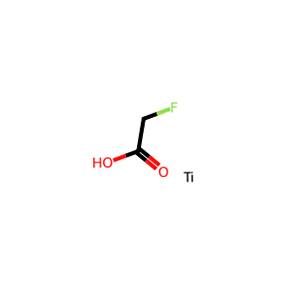 O=C(O)CF.[Ti]